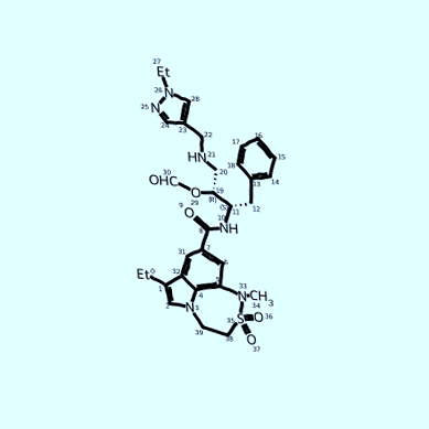 CCc1cn2c3c(cc(C(=O)N[C@@H](Cc4ccccc4)[C@@H](CNCc4cnn(CC)c4)OC=O)cc13)N(C)S(=O)(=O)CC2